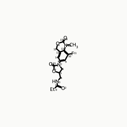 CCC(=O)NCC1CN(c2cc(F)c3c(c2)COC(=O)N3C)C(=O)O1